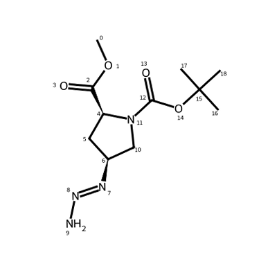 COC(=O)[C@@H]1C[C@H](N=NN)CN1C(=O)OC(C)(C)C